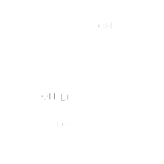 CCO.CO.CO.Cc1ccccc1